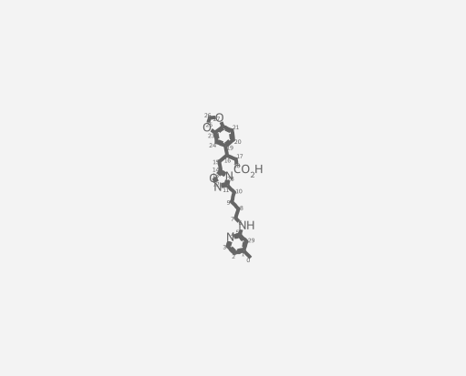 Cc1ccnc(NCCCCc2noc(CC(CC(=O)O)c3ccc4c(c3)OCO4)n2)c1